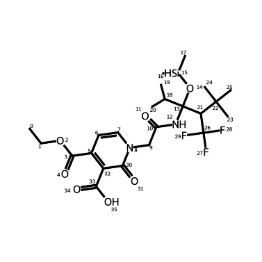 CCOC(=O)c1ccn(CC(=O)NC(O[SiH](C)C)(C(C)C)C(C(C)(C)C)C(F)(F)F)c(=O)c1C(=O)O